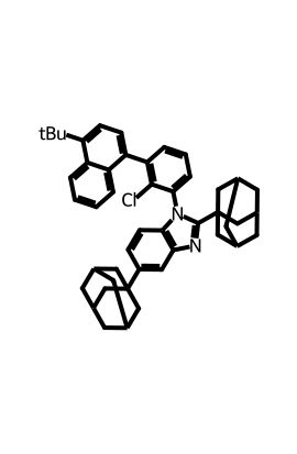 CC(C)(C)c1ccc(-c2cccc(-n3c(C45CC6CC(CC(C6)C4)C5)nc4cc(C56CC7CC(CC(C7)C5)C6)ccc43)c2Cl)c2ccccc12